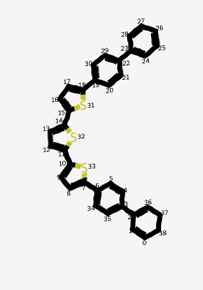 C1=CC(c2ccc(-c3ccc(-c4ccc(-c5ccc(-c6ccc(-c7ccccc7)cc6)s5)s4)s3)cc2)=CCC1